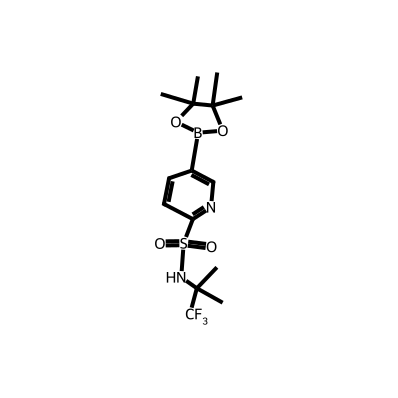 CC(C)(NS(=O)(=O)c1ccc(B2OC(C)(C)C(C)(C)O2)cn1)C(F)(F)F